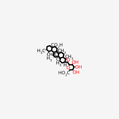 C[C@@H]1CC[C@]2(C(=O)O)CC[C@]3(C)C(=CCC4[C@@]5(C)CC[C@@H]6[C@H]([C@@H]7OC(C(=O)O)[C@@H](O)C(O)C7O)O[C@@]6(C)C5CC[C@]43C)C2[C@H]1C